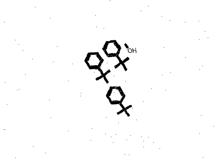 CC(C)(C)c1ccccc1.CC(C)(C)c1ccccc1.CC(C)(C)c1ccccc1.CO